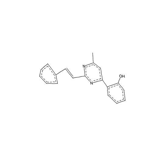 Cc1cc(-c2ccccc2O)nc(C=Cc2ccccc2)n1